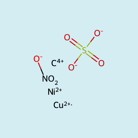 O=S(=O)([O-])[O-].O=[N+]([O-])[O-].[C+4].[Cu+2].[Ni+2]